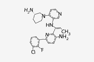 CC=C(Nc1cnccc1N1CCC[C@H](N)C1)c1nc(-c2cccc(Cl)c2F)ccc1N